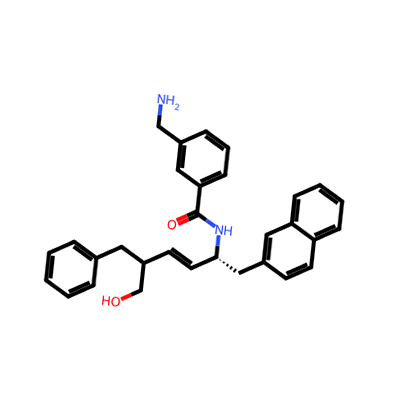 NCc1cccc(C(=O)N[C@@H](/C=C/C(CO)Cc2ccccc2)Cc2ccc3ccccc3c2)c1